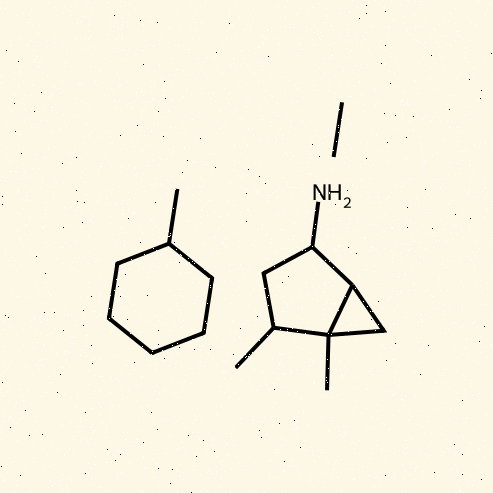 CC.CC1CC(N)C2CC12C.CC1CCCCC1